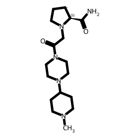 CN1CCC(N2CCN(C(=O)CN3CC[CH][C@H]3C(N)=O)CC2)CC1